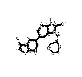 O=c1[nH]c2ncc(-c3cnc4[nH]cc(F)c4c3)cc2n1C[C@H]1COCCO1